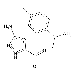 Cc1ccc(C(C)N)cc1.Nc1n[nH]c(C(=O)O)n1